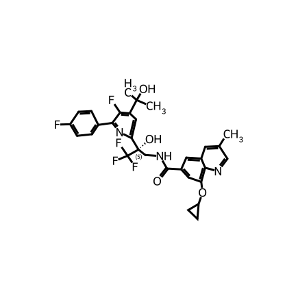 Cc1cnc2c(OC3CC3)cc(C(=O)NC[C@](O)(c3cc(C(C)(C)O)c(F)c(-c4ccc(F)cc4)n3)C(F)(F)F)cc2c1